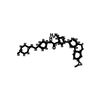 COc1ccc2c(c1)CCc1cnc(-n3cc(C(=O)Nc4ccc(CCN5CCN(C)CC5)cc4)c(N)n3)nc1-2